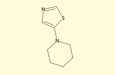 [CH]1CCN(c2cncs2)CC1